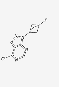 FC12CC(n3ncc4c(Cl)ncnc43)(C1)C2